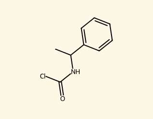 CC(NC(=O)Cl)c1ccccc1